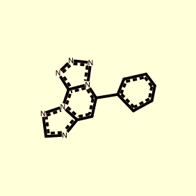 c1ccc(-c2cc3ncnn3c3nnnn23)cc1